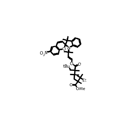 CCC(C)(C)C(C)(CC(C)(C)C(C)(CC(C)(C)C)C(=O)O/C=C/C(C)(C)N1c2ccccc2C(C)(C)C12C=Cc1cc([N+](=O)[O-])ccc1O2)C(=O)OC